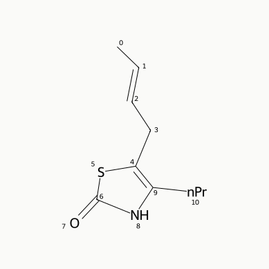 C/C=C/Cc1sc(=O)[nH]c1CCC